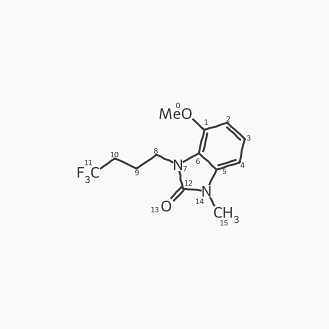 COc1cccc2c1n(CCCC(F)(F)F)c(=O)n2C